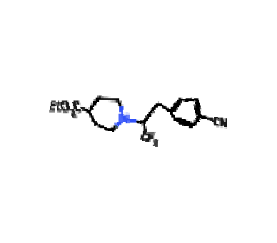 CCOC(=O)C1CCN(C(Cc2ccc(C#N)cc2)C(F)(F)F)CC1